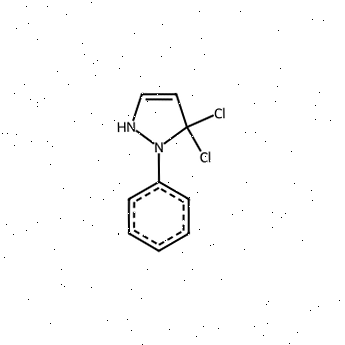 ClC1(Cl)C=CNN1c1ccccc1